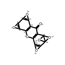 O=c1c2c(oc3c4oc4c4oc4c13)C1=C(O1)C13OC21O3